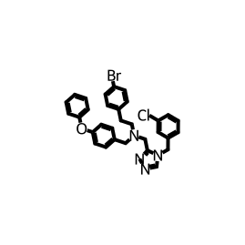 Clc1cccc(Cn2cnnc2CN(CCc2ccc(Br)cc2)Cc2ccc(Oc3ccccc3)cc2)c1